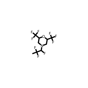 CC(F)(F)C(F)N1CC(C(F)(F)F)OC(C(F)(F)F)C1